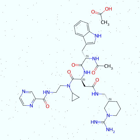 CC(=O)N[C@@H](Cc1c[nH]c2ccccc12)C(=O)N[C@@H](CC(=O)NC[C@@H]1CCCN(C(=N)N)C1)C(=O)N(CCNC(=O)c1cnccn1)C1CC1.CC(=O)O